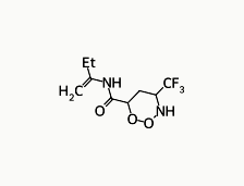 C=C(CC)NC(=O)C1CC(C(F)(F)F)NOO1